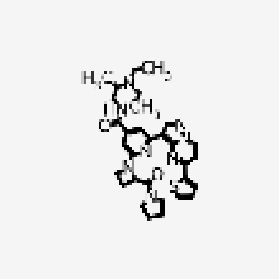 CCN(CC)C(C)CNC(=O)c1cc(-c2cnn3ccc(-c4cccs4)nc23)nc(N2CCC2C(=O)N2CCCC2)c1